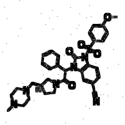 COc1ccc(S(=O)(=O)n2c(=O)n(C(C(=O)N3CC[C@@H](CN4CCN(C)CC4)C3)c3ccccc3)c3cc(C#N)ccc32)cc1